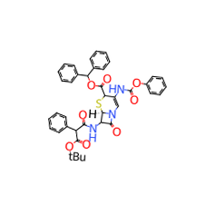 CC(C)(C)OC(=O)C(C(=O)NC1C(=O)N2C=C(NC(=O)Oc3ccccc3)C(C(=O)OC(c3ccccc3)c3ccccc3)S[C@H]12)c1ccccc1